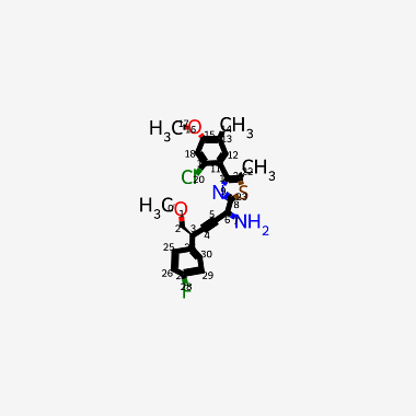 COC[C@@H](C#CC(N)c1nc(-c2cc(C)c(OC)cc2Cl)c(C)s1)c1ccc(F)cc1